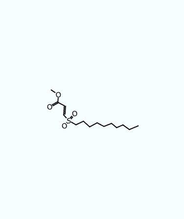 CCCCCCCCCCS(=O)(=O)C=CC(=O)OC